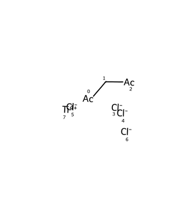 CC(=O)CC(C)=O.[Cl-].[Cl-].[Cl-].[Cl-].[Ti+4]